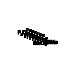 CO[Si](C)(OC)C(C)C(F)(F)C(F)(F)C(F)(F)C(F)(F)C(F)(F)C(F)(F)C(F)(F)C(F)(F)F